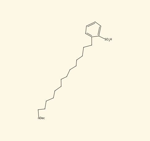 CCCCCCCCCCCCCCCCCCCCCCCCc1ccccc1S(=O)(=O)O